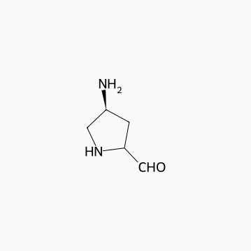 N[C@@H]1CNC(C=O)C1